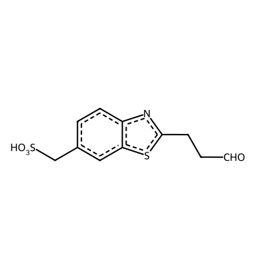 O=CCCc1nc2ccc(CS(=O)(=O)O)cc2s1